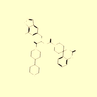 Cc1cc(C[C@@H](OC(=O)N2CCC3(CC2)OC(=O)Nc2ccccc23)C(=O)N2CCC(C3CCNCC3)CC2)cc2cn[nH]c12